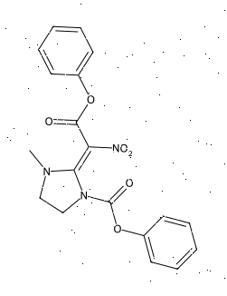 CN1CCN(C(=O)Oc2ccccc2)C1=C(C(=O)Oc1ccccc1)[N+](=O)[O-]